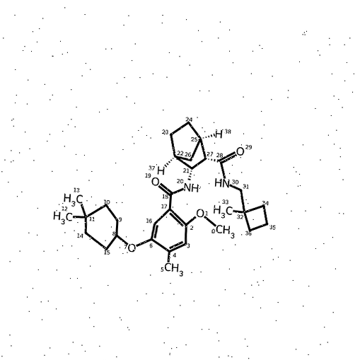 COc1cc(C)c(OC2CCC(C)(C)CC2)cc1C(=O)N[C@@H]1[C@H]2CC[C@H](C2)[C@@H]1C(=O)NCC1(C)CCC1